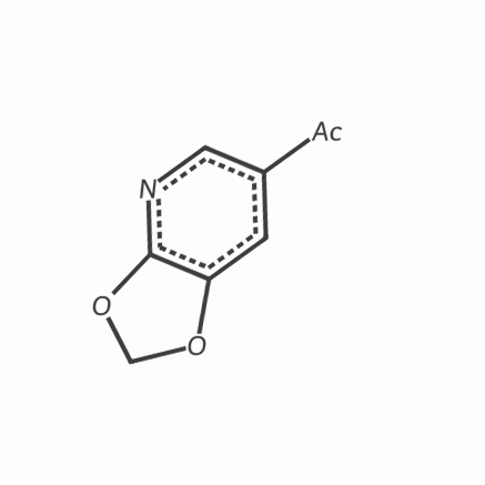 CC(=O)c1cnc2c(c1)OCO2